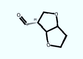 O=C[C@@H]1COC2CCOC21